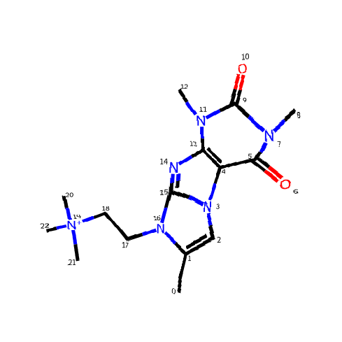 Cc1cn2c3c(=O)n(C)c(=O)n(C)c3nc2n1CC[N+](C)(C)C